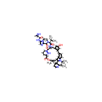 CCn1c(-c2cccnc2C(C)C)c2c3cc(ccc31)-c1cc(O)cc(c1)C[C@H](NC(=O)[C@H](C(C)C)N(C)C(=O)c1ncc(NC(=O)[C@H]3CN3)n1C)C(=O)N1CCC[C@H](N1)C(=O)OCC(C)(C)C2